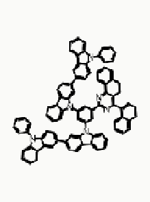 c1ccc(-n2c3ccccc3c3cc(-c4ccc5c6ccccc6n(-c6cc(-c7nc(-c8cccc9ccccc89)c8ccc9ccccc9c8n7)cc(-n7c8ccccc8c8ccc(-c9ccc%10c(c9)c9ccccc9n%10-c9ccccc9)cc87)c6)c5c4)ccc32)cc1